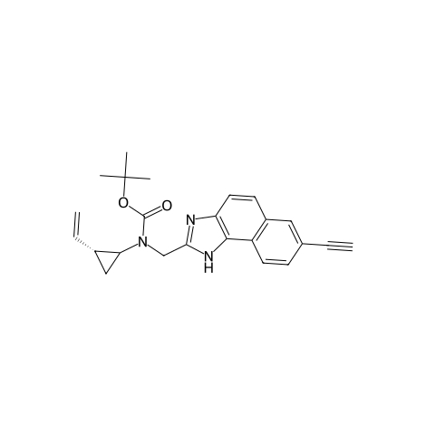 C#Cc1ccc2c(ccc3nc(CN(C(=O)OC(C)(C)C)C4C[C@@H]4C=C)[nH]c32)c1